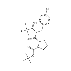 CC(C)(C)OC(=O)N1CCC[C@@H]1C(=N)N(Cc1ccc(Cl)cc1)C(=N)C(F)(F)F